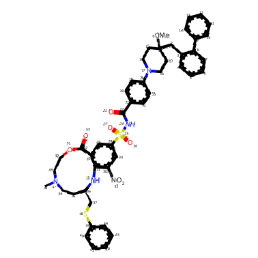 COC1(Cc2ccccc2-c2ccccc2)CCN(c2ccc(C(=O)NS(=O)(=O)c3cc4c(c([N+](=O)[O-])c3)N[C@@H](CSc3ccccc3)CCN(C)CCOC4=O)cc2)CC1